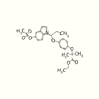 CCOC(=O)C(C)(C)Oc1ccc(OC(CC)n2ccc3cc(OS(C)(=O)=O)ccc32)cc1